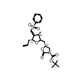 C=CC[C@@H]1OC(C[C@H]2CN(C(=O)OC(C)(C)C)C(=O)O2)[C@H](C)C1=CS(=O)(=O)c1ccccc1